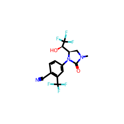 CN1C[C@H]([C@@H](O)C(F)(F)F)N(c2ccc(C#N)c(C(F)(F)F)c2)C1=O